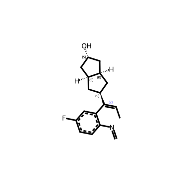 C=Nc1ccc(F)cc1/C(=C\C)[C@H]1C[C@H]2C[C@H](O)C[C@H]2C1